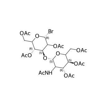 CC(=O)NC1[C@H](O[C@@H]2C(OC(C)=O)[C@@H](Br)OC(COC(C)=O)[C@H]2OC(C)=O)OC(COC(C)=O)[C@@H](OC(C)=O)[C@@H]1OC(C)=O